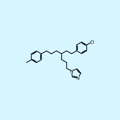 Cc1ccc(CCCC(CCCn2ccnc2)CCc2ccc(Cl)cc2)cc1